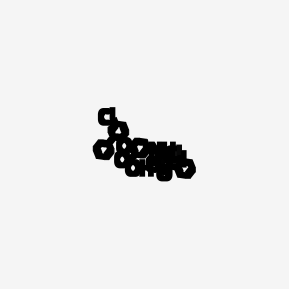 O=C(NC(=O)c1ccccc1Cl)Nc1ccc(Oc2ccc(Cl)cc2-c2ccccc2)c(C(=O)O)c1